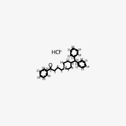 Cl.O=C(CCCN1CCC(C(c2ccccc2)c2ccccc2)CC1)c1ccccc1